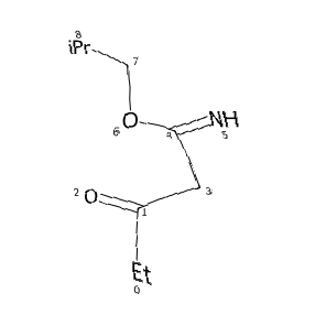 CCC(=O)CC(=N)OCC(C)C